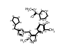 COC(=O)[C@H]1COC[C@H](Oc2ccc(-c3nnn(C)c3Cn3nnc(CC4CCCC4)n3)nc2C)C1